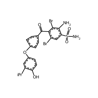 CC(C)c1cc(Oc2ccc(C(=O)c3c(Br)cc(S(N)(=O)=O)c(N)c3Br)cc2)ccc1O